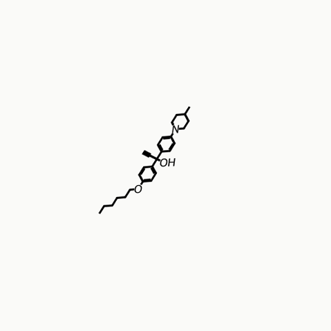 C#CC(O)(c1ccc(OCCCCCC)cc1)c1ccc(N2CCC(C)CC2)cc1